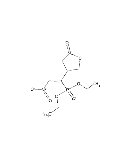 CCOP(=O)(OCC)C(C[N+](=O)[O-])C1COC(=O)C1